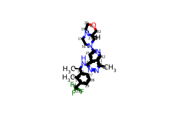 Cc1c([C@@H](C)Nc2nnc(C)c3cnc(N4CCN5CCOC[C@@H]5C4)cc23)cccc1C(F)(F)F